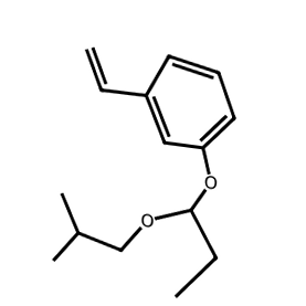 C=Cc1cccc(OC(CC)OCC(C)C)c1